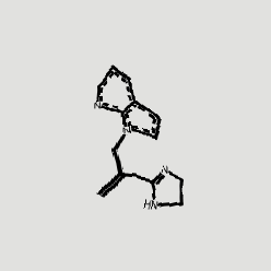 C=C(Cn1ccc2cccnc21)C1=NCCN1